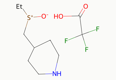 CC[S+]([O-])CC1CCNCC1.O=C(O)C(F)(F)F